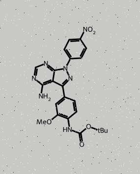 COc1cc(-c2nn(-c3ccc([N+](=O)[O-])cc3)c3ncnc(N)c23)ccc1NC(=O)OC(C)(C)C